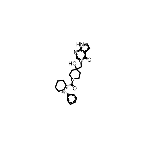 O=C([C@@H]1CCCC[C@H]1c1ccccc1)N1CCC(O)(Cn2cnc3[nH]ccc3c2=O)CC1